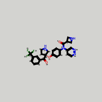 O=C(C1CNC1)N(c1ccc(O[C@]2(C(=O)c3cccc(C(F)(F)F)c3)CCNC2)cc1)c1ccnnc1